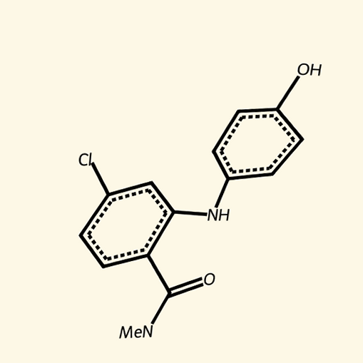 CNC(=O)c1ccc(Cl)cc1Nc1ccc(O)cc1